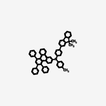 Cc1ccc(N(c2ccc(-c3ccc4c(c3)C(C)(C)c3ccccc3-4)cc2)c2ccc3c(c2)c2ccccc2c2c(-c4ccccc4)cc(-c4ccccc4)c(-c4ccccc4)c32)cc1